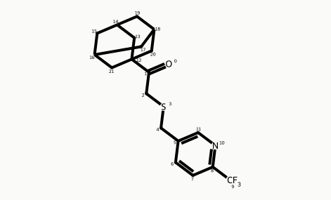 O=C(CSCc1ccc(C(F)(F)F)nc1)C12CC3CC(CC(C3)C1)C2